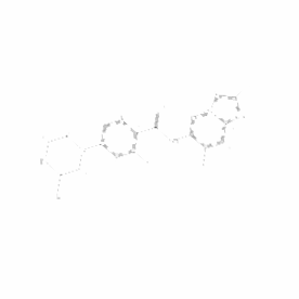 Cc1cn2cc(NC(=O)c3ccc(N4CCNC(C)C4)cc3F)c(C)cc2n1